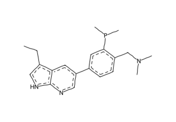 CCc1c[nH]c2ncc(-c3ccc(CN(C)C)c(P(C)C)c3)cc12